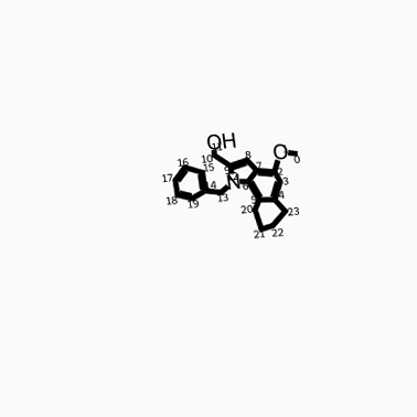 COc1cc2c(c3c1cc(CO)n3Cc1ccccc1)CCCC2